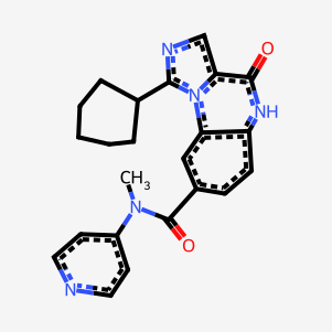 CN(C(=O)c1ccc2[nH]c(=O)c3cnc(C4CCCCC4)n3c2c1)c1ccncc1